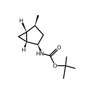 C[C@H]1C[C@@H](NC(=O)OC(C)(C)C)[C@@H]2C[C@@H]21